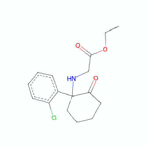 CCOC(=O)CNC1(c2ccccc2Cl)CCCCC1=O